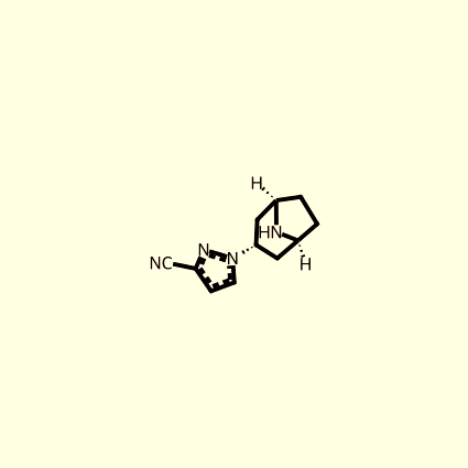 N#Cc1ccn([C@@H]2C[C@H]3CC[C@@H](C2)N3)n1